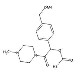 COCc1ccc(C(OC(=O)S)C(=O)N2CCN(C)CC2)cc1